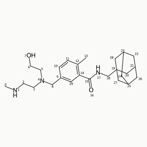 CNCCN(CCO)Cc1ccc(C)c(C(=O)NCC23CC4CC(CC(C4)C2)C3)c1